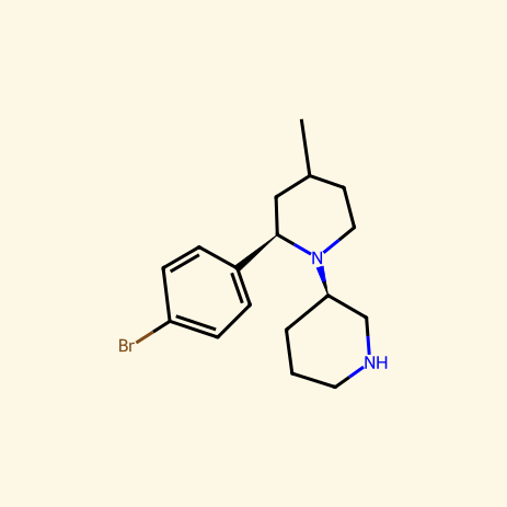 CC1CCN([C@@H]2CCCNC2)[C@@H](c2ccc(Br)cc2)C1